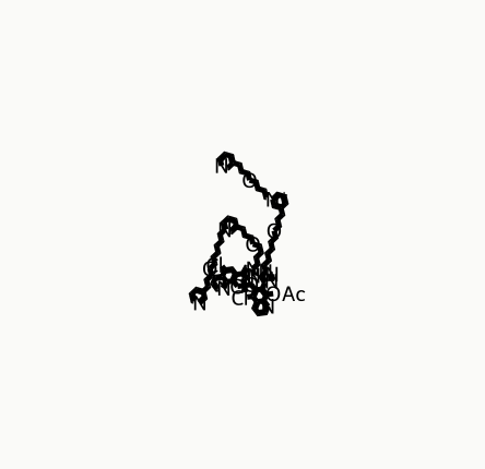 CC(=O)Oc1c(-c2cn(CCCCCCOCCCc3ccc[n+](CCCCOCCCc4cccnc4)c3)nn2)c(OC(C)(C)Oc2c(-c3cn(CCCCOCCCc4ccc[n+](CCCCCCOCCCc5cccnc5)c4)nn3)cc(Cl)c3cccnc23)c(Cl)c2cccnc12